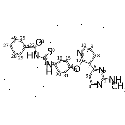 CNc1nccc(-c2cccnc2Oc2ccc(NC(=S)NC(=O)c3ccccc3)cc2)n1